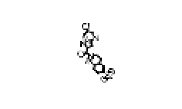 CN1c2ccc(S(C)(=O)=O)cc2CCN1C(=O)c1cc2ncc(Cl)cn2n1